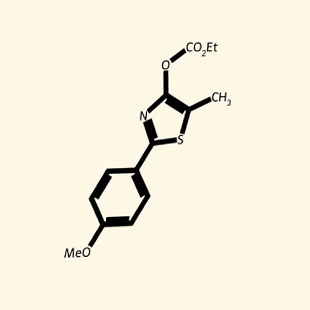 CCOC(=O)Oc1nc(-c2ccc(OC)cc2)sc1C